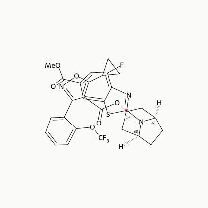 COC(=O)c1cc(F)c2nc(N3[C@@H]4CC[C@H]3C[C@H](OC(=O)c3c(-c5ccccc5OC(F)(F)F)noc3C3CC3)C4)sc2c1